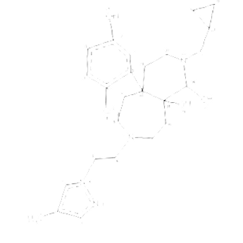 Cc1cnn(CCN2CCC3(c4cc(O)ccc4C)CCN(CC4CC4)C(C)C3(O)CC2)c1